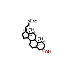 CCCCCCCCCCC/C=C1/CCC2C3CCC4C[C@@H](O)CC[C@]4(C)C3CC[C@]12C